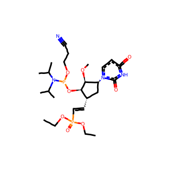 CCOP(=O)(/C=C/[C@H]1C[C@@H](n2ccc(=O)[nH]c2=O)[C@H](OC)[C@@H]1OP(OCCC#N)N(C(C)C)C(C)C)OCC